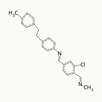 CN=Cc1ccc(C=Nc2ccc(CCc3ccc(C)cc3)cc2)cc1Cl